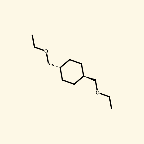 CCOC[C@H]1CC[C@H](COCC)CC1